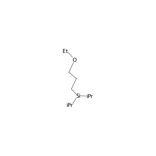 CCOCCC[Si](C(C)C)C(C)C